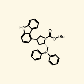 CC(C)(C)OC(=O)N1C[C@H](c2cccc3[pH]c4ccccc4c23)C[C@H]1CP(c1ccccc1)c1ccccc1